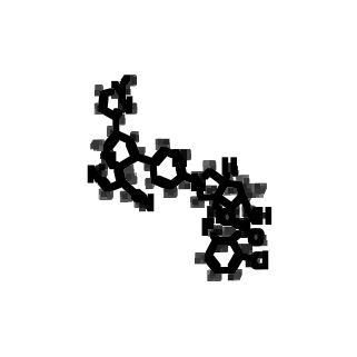 Cn1ccc(-c2cc(-c3ccc(N4C[C@@H]5C[C@@](C)(NS(=O)(=O)c6c(F)cccc6Cl)C[C@@H]5C4)nc3)c3c(C#N)cnn3c2)n1